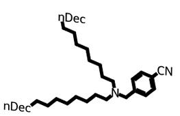 CCCCCCCCCCCCCCCCCCN(CCCCCCCCCCCCCCCCCC)Cc1ccc(C#N)cc1